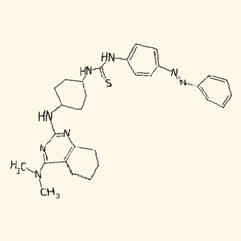 CN(C)c1nc(NC2CCC(NC(=S)Nc3ccc(N=Nc4ccccc4)cc3)CC2)nc2c1CCCC2